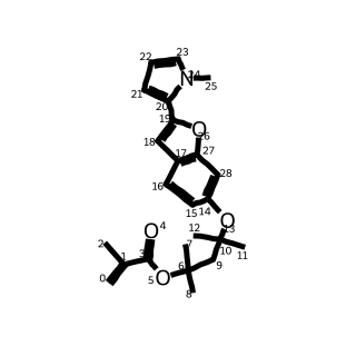 C=C(C)C(=O)OC(C)(C)CC(C)(C)Oc1ccc2cc(-c3cccn3C)oc2c1